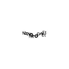 CCN(CC)CCOc1cccc(-c2ccc(N3CC4=CN(C)CC4C3)nn2)c1